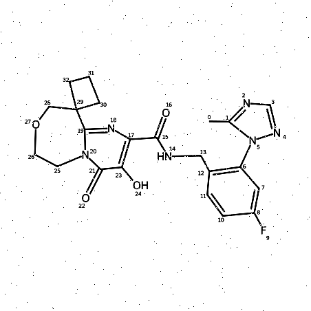 Cc1ncnn1-c1cc(F)ccc1CNC(=O)c1nc2n(c(=O)c1O)CCOCC21CCC1